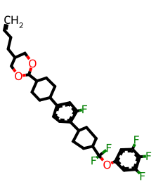 C=CCCC1COC(C2CCC(c3ccc(C4CCC(C(F)(F)Oc5cc(F)c(F)c(F)c5)CC4)c(F)c3)CC2)OC1